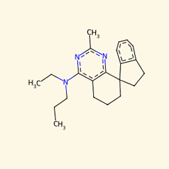 CCCN(CC)c1nc(C)nc2c1CCCC21CCc2ccccc21